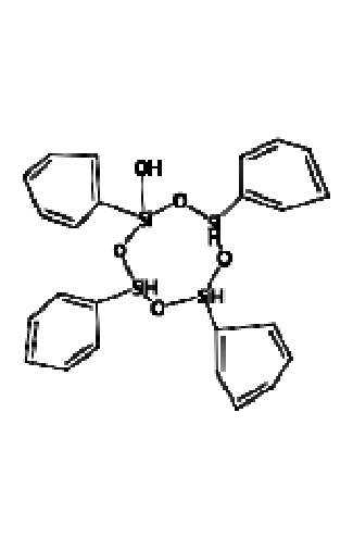 O[Si]1(c2ccccc2)O[SiH](c2ccccc2)O[SiH](c2ccccc2)O[SiH](c2ccccc2)O1